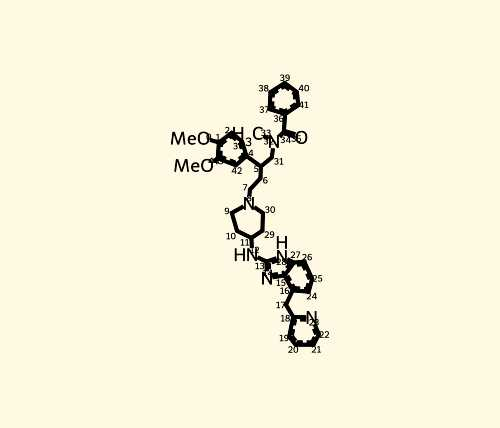 COc1ccc(C(CCN2CCC(Nc3nc4c(Cc5ccccn5)cccc4[nH]3)CC2)CN(C)C(=O)c2ccccc2)cc1OC